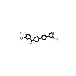 CN/C=C(\C=N)c1ccc(C2CCN(C(=O)c3ccc(C)c(C)c3)CC2)cc1